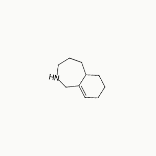 C1=C2CNCCCC2CCC1